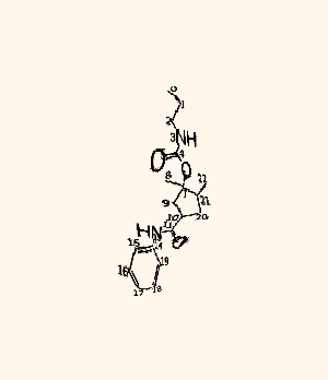 CCCNC(=O)OC1(C)CC(C(=O)Nc2ccccc2)CC1C